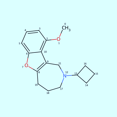 COc1cccc2oc3c(c12)CN(C1CCC1)CCC3